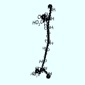 O=C(O)CC(NC(=O)[C@H](CCCCNC(=O)CCOCCOCCOC(=O)NCCCCNC(=O)OCCOCCOCCC(=O)NCCCC[C@H](NC(=O)CCCCNc1ccccn1)C(=O)NC(CC(=O)O)c1cc(Cl)cc(Cl)c1)NC(=O)CCCCNc1ccccn1)c1cc(Cl)cc(Cl)c1